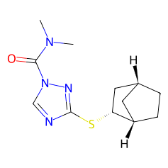 CN(C)C(=O)n1cnc(S[C@@H]2C[C@@H]3CC[C@H]2C3)n1